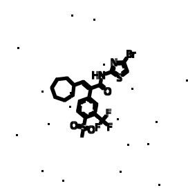 CS(=O)(=O)c1ccc(/C(=C\C2CCCCCC2)C(=O)Nc2nc(Br)cs2)cc1C(F)(F)F